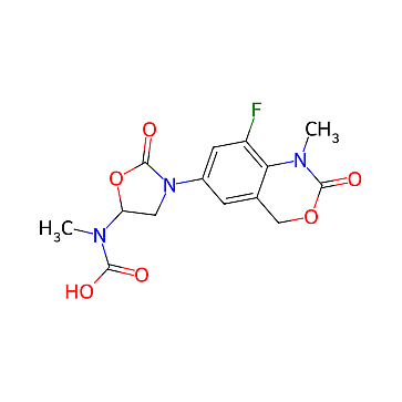 CN1C(=O)OCc2cc(N3CC(N(C)C(=O)O)OC3=O)cc(F)c21